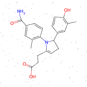 Cc1cc(C2CC=C(CCC(=O)O)N2c2ccc(C(N)=O)cc2C)ccc1O